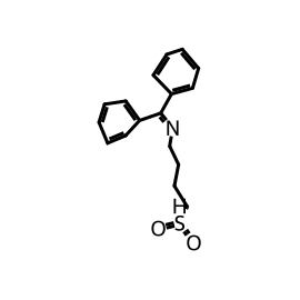 O=[SH](=O)CCCCN=C(c1ccccc1)c1ccccc1